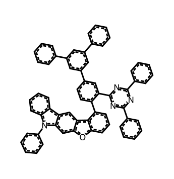 c1ccc(-c2cc(-c3ccccc3)cc(-c3ccc(-c4cccc5oc6cc7c(cc6c45)c4ccccc4n7-c4ccccc4)c(-c4nc(-c5ccccc5)nc(-c5ccccc5)n4)c3)c2)cc1